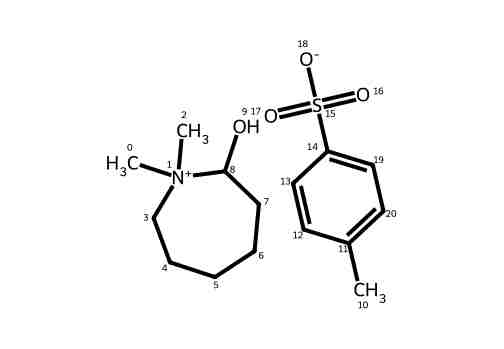 C[N+]1(C)CCCCCC1O.Cc1ccc(S(=O)(=O)[O-])cc1